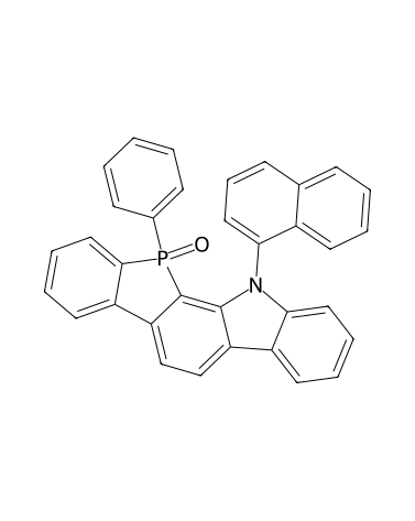 O=P1(c2ccccc2)c2ccccc2-c2ccc3c4ccccc4n(-c4cccc5ccccc45)c3c21